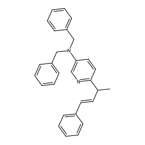 CC(C=Cc1ccccc1)c1ccc(N(Cc2ccccc2)Cc2ccccc2)cn1